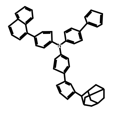 c1ccc(-c2ccc(N(c3ccc(-c4cccc(C5C6CC7CC(C6)CC5C7)c4)cc3)c3ccc(-c4cccc5ccccc45)cc3)cc2)cc1